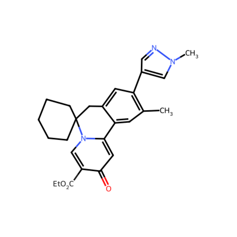 CCOC(=O)c1cn2c(cc1=O)-c1cc(C)c(-c3cnn(C)c3)cc1CC21CCCCC1